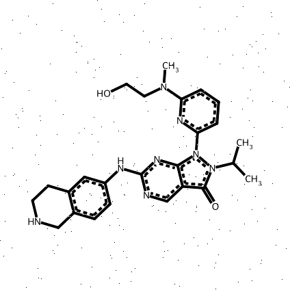 CC(C)n1c(=O)c2cnc(Nc3ccc4c(c3)CCNC4)nc2n1-c1cccc(N(C)CCO)n1